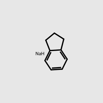 [NaH].c1ccc2c(c1)CCC2